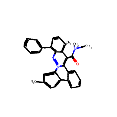 Cc1ccc2c3ccccc3c3c(C(=O)N(C)C)c4c(C)ccc(-c5ccccc5)c4n[n+]3c2c1